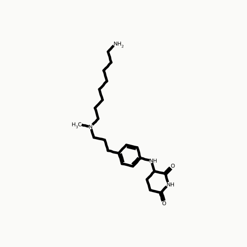 CN(CCCCCCCCN)CCCc1ccc(NC2CCC(=O)NC2=O)cc1